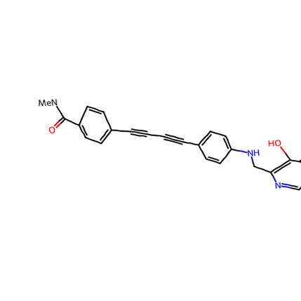 CNC(=O)c1ccc(C#CC#Cc2ccc(NCc3nc[nH]c(=O)c3O)cc2)cc1